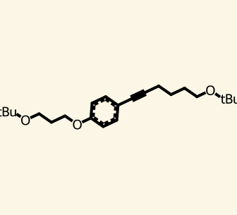 CC(C)(C)OCCCCC#Cc1ccc(OCCCOC(C)(C)C)cc1